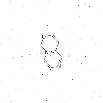 C1=Cc2cncc[n+]2CO1